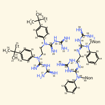 CCC(C)(C)c1ccc(N(CCN(C(=N)NC(=N)N)c2ccc(C(C)(C)CC)cc2)C(=N)NC(=N)N)cc1.CCCCCCCCCN(C(=NCCN=C(NC(=N)N)N(CCCCCCCCC)c1ccccc1)NC(=N)N)c1ccccc1